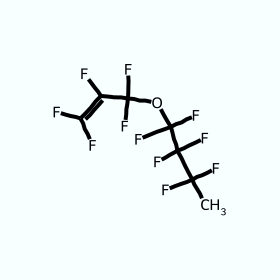 CC(F)(F)C(F)(F)C(F)(F)OC(F)(F)C(F)=C(F)F